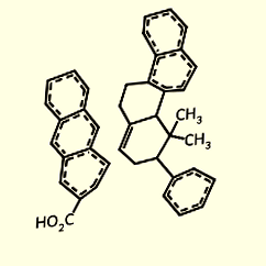 CC1(C)C(c2ccccc2)CC=C2CCc3c(ccc4ccccc34)C21.O=C(O)c1ccc2cc3ccccc3cc2c1